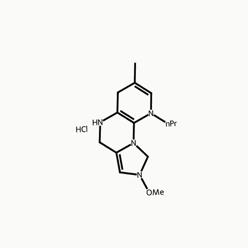 CCCN1C=C(C)CC2=C1N1CN(OC)C=C1CN2.Cl